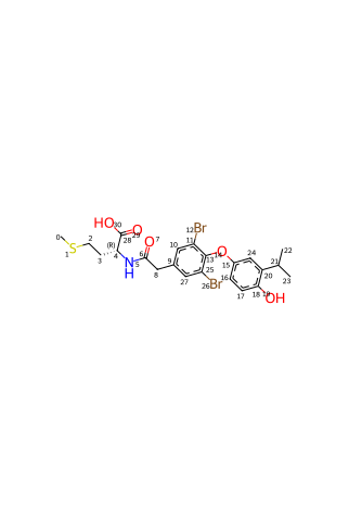 CSCC[C@@H](NC(=O)Cc1cc(Br)c(Oc2ccc(O)c(C(C)C)c2)c(Br)c1)C(=O)O